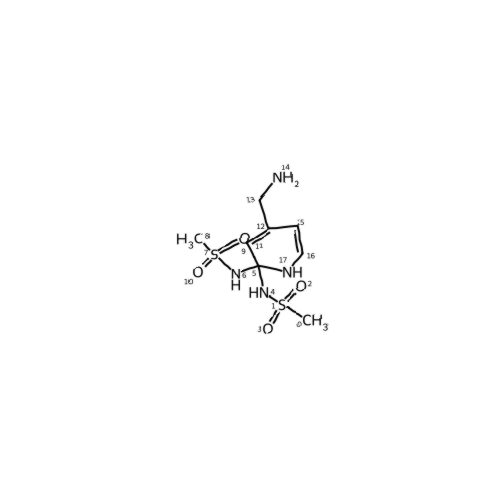 CS(=O)(=O)NC1(NS(C)(=O)=O)C=C(CN)C=CN1